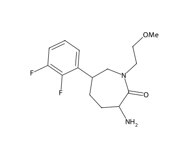 COCCN1CC(c2cccc(F)c2F)CCC(N)C1=O